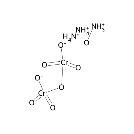 [NH3+][O-].[NH4+].[NH4+].[O]=[Cr](=[O])([O-])[O][Cr](=[O])(=[O])[O-]